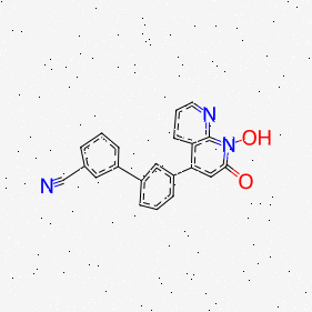 N#Cc1cccc(-c2cccc(-c3cc(=O)n(O)c4ncccc34)c2)c1